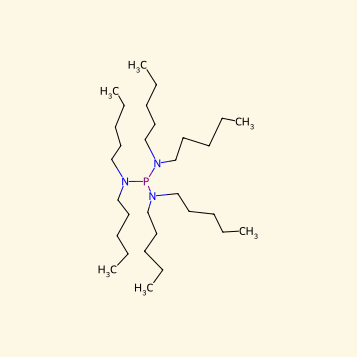 CCCCCN(CCCCC)P(N(CCCCC)CCCCC)N(CCCCC)CCCCC